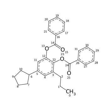 CCCc1cc(C2CCCC2)cc(OC(=O)c2ccccc2)c1OC(=O)c1ccccc1